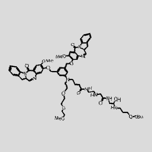 COCCOCCOCCN(CCCC(=O)NCCNCC(=O)NCC(O)NCCCOC(C)(C)C)c1cc(COc2cc3c(cc2OC)C(=O)N2c4ccccc4CC2C=N3)cc(COc2cc3c(cc2OC)C(=O)N2c4ccccc4CC2C=N3)c1